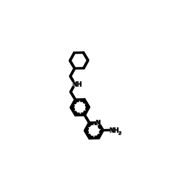 Nc1cccc(-c2ccc(CNCC3CCCCC3)cc2)n1